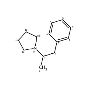 CC(Cc1ccccc1)N1CCCC1